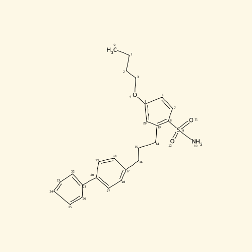 CCCCOc1ccc(S(N)(=O)=O)c(CCCc2ccc(-c3ccccc3)cc2)c1